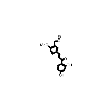 CCOCc1cc(/C=C/C(=O)c2ccc(O)cc2O)ccc1OC